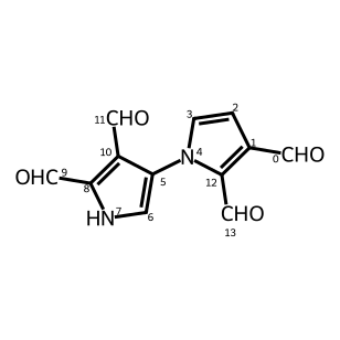 O=Cc1ccn(-c2c[nH]c(C=O)c2C=O)c1C=O